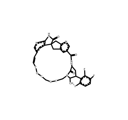 CC1C(c2c(F)ccc(F)c2F)CC2NC(=O)c3cnc4c(c3)CC3(C4)C(=O)Nc4ncc(cc43)C=CCOCCOCCN1C2=O